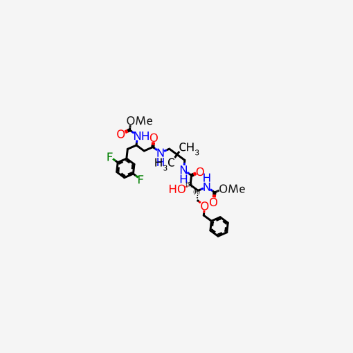 COC(=O)NC(CC(=O)NCC(C)(C)CNC(=O)[C@@H](O)[C@@H](COCc1ccccc1)NC(=O)OC)Cc1cc(F)ccc1F